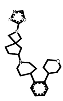 c1ccc(C2CCN(C3CCC4(C3)CN(c3nnco3)C4)CC2)c(C2CCOCC2)c1